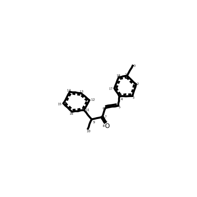 Cc1ccc(/C=C/C(=O)C(C)c2ccccc2)cc1